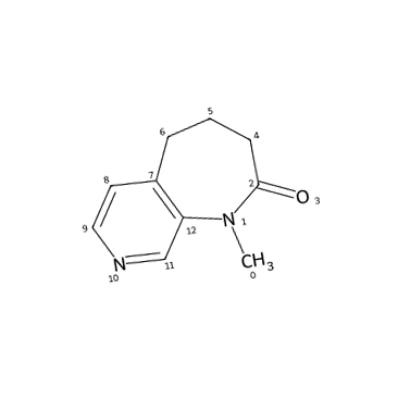 CN1C(=O)CCCc2ccncc21